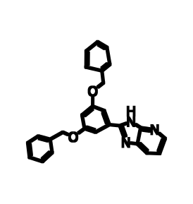 c1ccc(COc2cc(OCc3ccccc3)cc(-c3nc4cccnc4[nH]3)c2)cc1